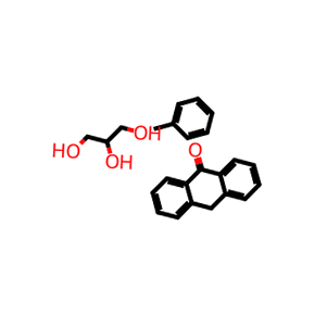 Cc1ccccc1.O=C1c2ccccc2Cc2ccccc21.OCC(O)CO